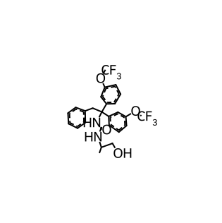 CC(CO)NC(=O)NC(Cc1ccccc1)(c1cccc(OC(F)(F)F)c1)c1cccc(OC(F)(F)F)c1